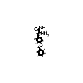 NC(=O)[C@@H](N)Cc1ccc(OCc2ccccc2)cc1